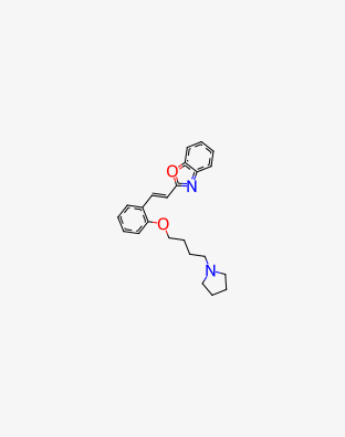 C(=Cc1ccccc1OCCCCN1CCCC1)c1nc2ccccc2o1